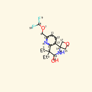 CCC1(CC)c2nc(COC(F)F)ccc2C2(COC2)NC1O